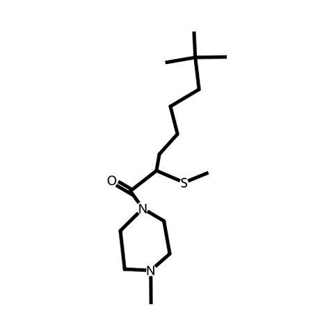 CSC(CCCCC(C)(C)C)C(=O)N1CCN(C)CC1